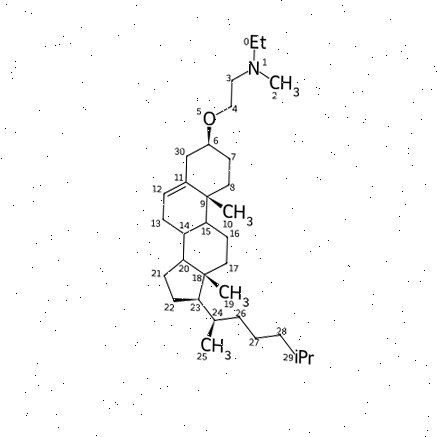 CCN(C)CCO[C@H]1CC[C@@]2(C)C(=CCC3C2CC[C@@]2(C)C3CC[C@@H]2[C@H](C)CCCC(C)C)C1